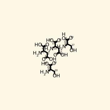 NC(CC(=O)O)C(=O)O.NC(CC(=O)O)C(=O)O.NC(CO)C(=O)O.NC(CO)C(=O)O